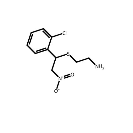 NCCSC(C[N+](=O)[O-])c1ccccc1Cl